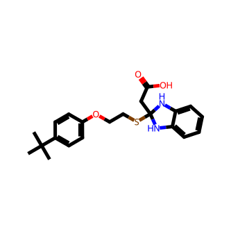 CC(C)(C)c1ccc(OCCSC2(CC(=O)O)Nc3ccccc3N2)cc1